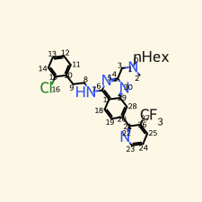 CCCCCCN(C)Cc1nc(NCCc2ccccc2Cl)c2ccc(-c3ncccc3C(F)(F)F)cc2n1